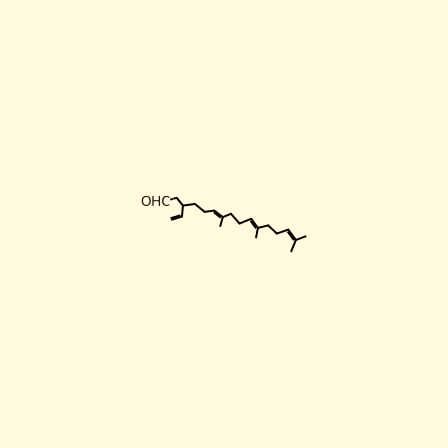 C=CC(CC=O)CC/C=C(\C)CC/C=C(\C)CCC=C(C)C